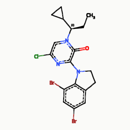 CC[C@H](C1CC1)n1cc(Cl)nc(N2CCc3cc(Br)cc(Br)c32)c1=O